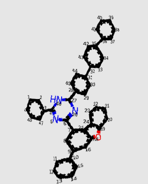 c1ccc(C2=NC(c3cc(-c4ccccc4)cc4oc5ccccc5c34)=NC(c3ccc(-c4ccc(-c5ccccc5)cc4)cc3)N2)cc1